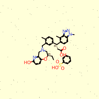 CC[C@@H]1CN(Cc2cc([C@@H](CC(=O)O)c3ccc4c(nnn4C)c3C)ccc2C)Cc2nc(O)ccc2O1.O=S(=O)(O)c1ccccc1